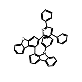 c1ccc(-c2cc(-c3ccccc3)nc(-c3cc(-c4cccc5c6ccccc6n(-c6ccccc6)c45)c4c(c3)oc3ccccc34)n2)cc1